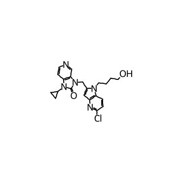 O=c1n(Cc2cc3nc(Cl)ccc3n2CCCCO)c2cnccc2n1C1CC1